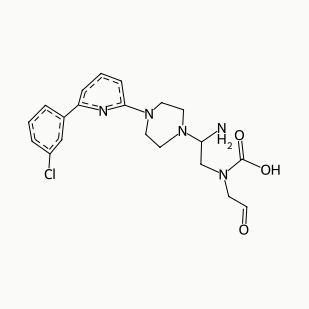 NC(CN(CC=O)C(=O)O)N1CCN(c2cccc(-c3cccc(Cl)c3)n2)CC1